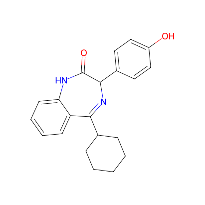 O=C1Nc2ccccc2C(C2CCCCC2)=NC1c1ccc(O)cc1